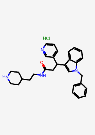 Cl.O=C(CC(c1cccnc1)c1cn(Cc2ccccc2)c2ccccc12)NCCC1CCNCC1